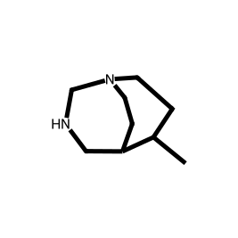 CC1CCN2CCC1CNC2